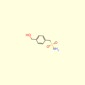 NS(=O)(=O)Cc1ccc(CO)cc1